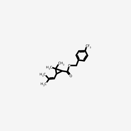 CC(C)=CC1C(C(=O)OCc2ccc(C(F)(F)F)cc2)C1(C)C